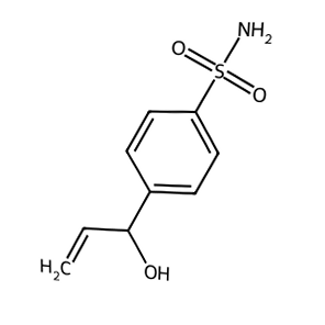 C=CC(O)c1ccc(S(N)(=O)=O)cc1